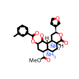 COC(=O)[C@@H]1CC(OC(=O)c2cccc(C)c2)C(=O)[C@H]2[C@@]1(N)CC[C@H]1C(=O)O[C@H](c3ccoc3)C[C@]21N